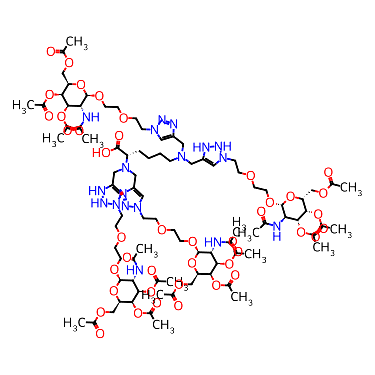 CC(=O)N[C@H]1[C@H](OCCOCCN2C=C(CN(CCCC[C@@H](C(=O)O)N(CC3=CN(CCOCCO[C@@H]4O[C@H](COC(C)=O)[C@H](OC(C)=O)[C@H](OC(C)=O)[C@H]4NC(C)=O)NN3)Cc3cn(CCOCCO[C@@H]4O[C@H](COC(C)=O)[C@H](OC(C)=O)[C@H](OC(C)=O)[C@H]4NC(C)=O)nn3)Cc3cn(CCOCCO[C@@H]4O[C@H](COC(C)=O)[C@H](OC(C)=O)[C@H](OC(C)=O)[C@H]4NC(C)=O)nn3)NN2)O[C@H](COC(C)=O)[C@H](OC(C)=O)[C@@H]1OC(C)=O